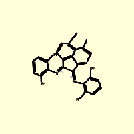 Cc1ccc2c3c(ccc(C)c13)C(=N\c1c(C(C)C)cccc1C(C)C)/C2=N/c1c(C(C)C)cccc1C(C)C